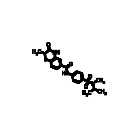 CC1Sc2ccc(C(=O)Nc3ccc(S(=O)(=O)N(C)C(C)C)cc3)cc2NC1=O